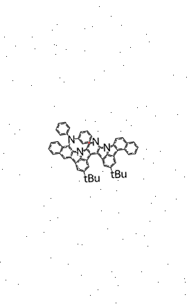 CC(C)(C)c1cc2c3c4ccccc4ccc3n3c4ncc5c(c6cc(C(C)(C)C)cc7c8cc9ccccc9c(N(c9ccccc9)c9ccccc9)c8n5c76)c4c(c1)c23